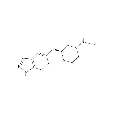 CCCN[C@@H]1CCC[C@@H](Oc2ccc3[nH]ncc3c2)C1